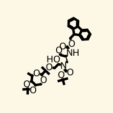 CC1OC(C(C)(C)OCCN(C[C@H](NC(=O)OCC2c3ccccc3-c3ccccc32)C(=O)O)C(=O)OC(C)(C)C)OCC2OC(C)(C)OC12